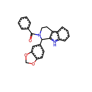 O=C(c1ccccc1)N1CCc2c([nH]c3ccccc23)C1c1ccc2c(c1)OCO2